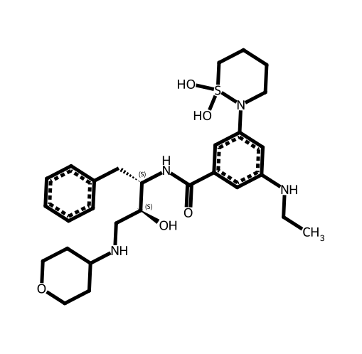 CCNc1cc(C(=O)N[C@@H](Cc2ccccc2)[C@@H](O)CNC2CCOCC2)cc(N2CCCCS2(O)O)c1